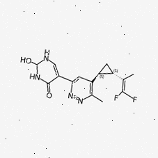 CC(=C(F)F)[C@H]1C[C@@H]1c1cc(C2=CNC(O)NC2=O)nnc1C